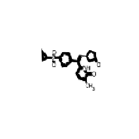 Cc1ccc(/C(=C\[C@H]2CCC(=O)C2)c2ccc(S(=O)(=O)C3CC3)cc2)[nH]c1=O